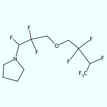 FC(N1CCCC1)C(F)(F)COCC(F)(F)C(F)C(F)(F)F